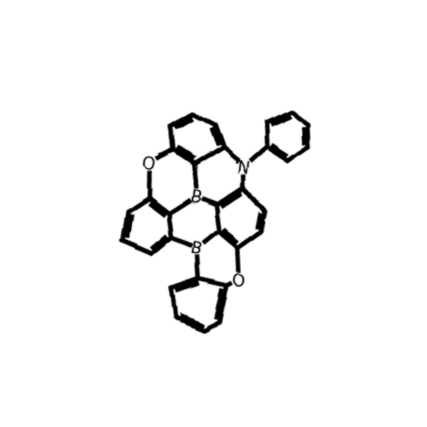 c1ccc(N2c3cccc4c3B3c5c(cccc5B5c6ccccc6Oc6ccc2c3c65)O4)cc1